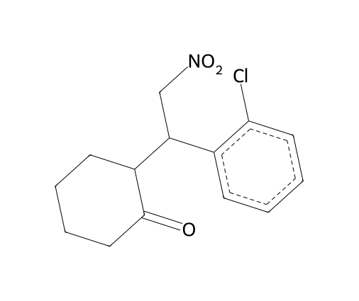 O=C1CCCCC1C(C[N+](=O)[O-])c1ccccc1Cl